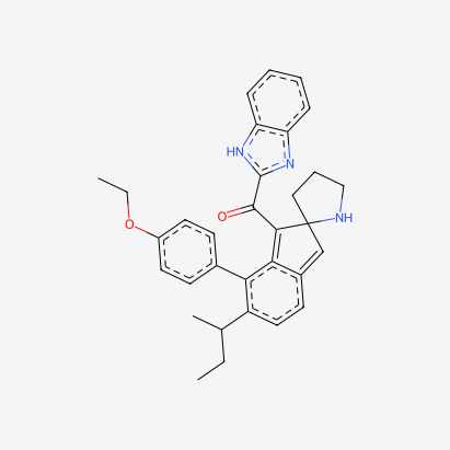 CCOc1ccc(-c2c(C(C)CC)ccc3c2=C(C(=O)c2nc4ccccc4[nH]2)C2(C=3)CCCN2)cc1